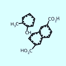 Cc1ccccc1C.O=C(O)c1ccc2cc(C(=O)O)ccc2c1